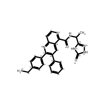 CC(NC(=O)c1nccc2nc(-c3ccc(CN)cc3)c(-c3ccccc3)cc12)c1n[nH]c(=O)[nH]1